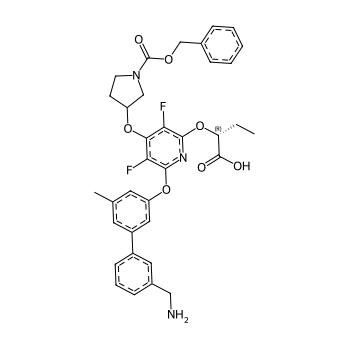 CC[C@@H](Oc1nc(Oc2cc(C)cc(-c3cccc(CN)c3)c2)c(F)c(OC2CCN(C(=O)OCc3ccccc3)C2)c1F)C(=O)O